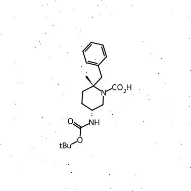 CC(C)(C)OC(=O)N[C@@H]1CC[C@](C)(Cc2ccccc2)N(C(=O)O)C1